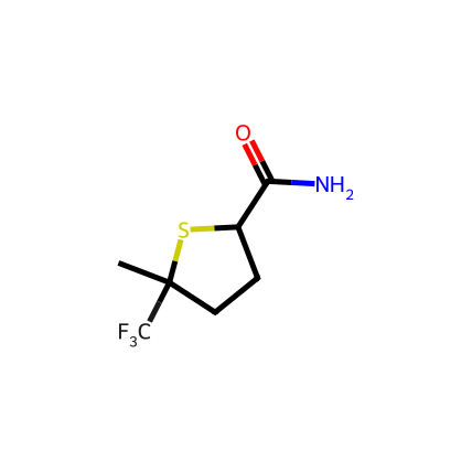 CC1(C(F)(F)F)CCC(C(N)=O)S1